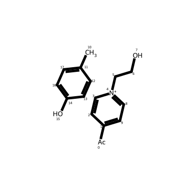 CC(=O)c1cc[n+](CCO)cc1.Cc1ccc(O)cc1